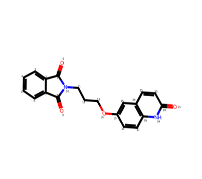 O=C1c2ccccc2C(=O)N1CCCOc1ccc2[nH]c(=O)ccc2c1